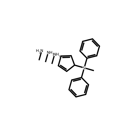 CN.CN.CN.C[Si]([C]1C=CC=C1)(c1ccccc1)c1ccccc1